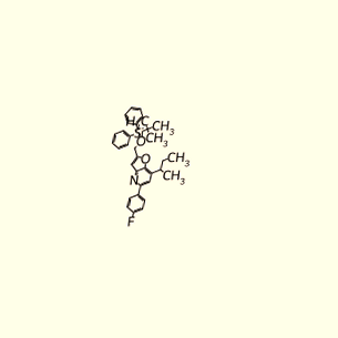 CCC(C)c1cc(-c2ccc(F)cc2)nc2cc(CO[Si](c3ccccc3)(c3ccccc3)C(C)(C)C)oc12